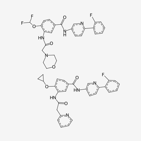 O=C(CN1CCOCC1)Nc1cc(C(=O)Nc2ccc(-c3ccccc3F)nc2)ccc1OC(F)F.O=C(Cc1ccccn1)Nc1cc(C(=O)Nc2ccc(-c3ccccc3F)nc2)ccc1OC1CC1